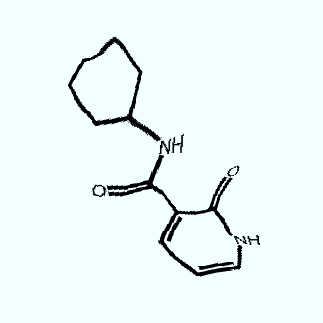 O=C(NC1CCCCC1)c1ccc[nH]c1=O